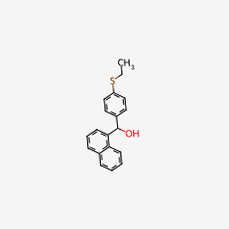 CCSc1ccc(C(O)c2cccc3ccccc23)cc1